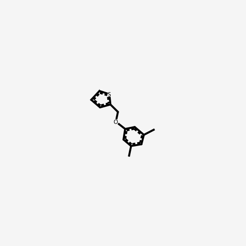 Cc1cc(C)cc(OCc2cc[c]s2)c1